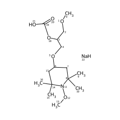 COCC(COC1CC(C)(C)N(OC)C(C)(C)C1)OC(=O)O.[NaH]